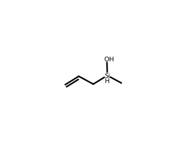 C=CC[SiH](C)O